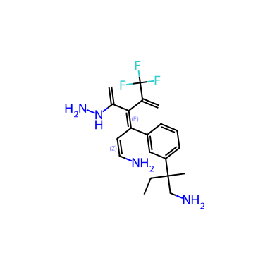 C=C(NN)/C(C(=C)C(F)(F)F)=C(\C=C/N)c1cccc(C(C)(CC)CN)c1